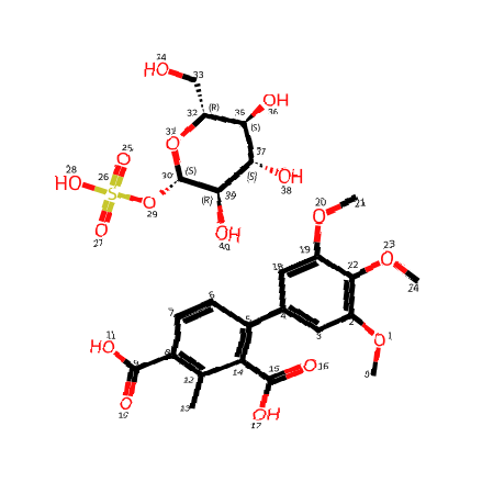 COc1cc(-c2ccc(C(=O)O)c(C)c2C(=O)O)cc(OC)c1OC.O=S(=O)(O)O[C@@H]1O[C@H](CO)[C@@H](O)[C@H](O)[C@H]1O